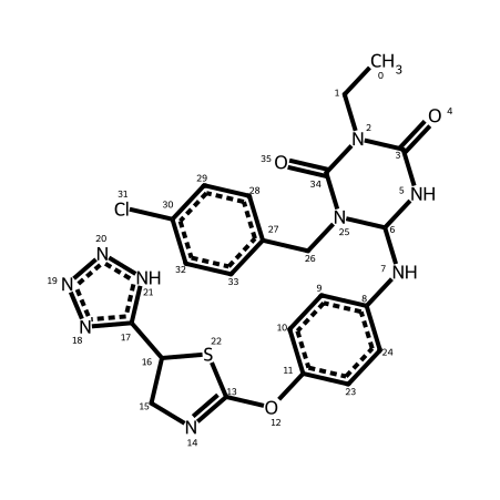 CCN1C(=O)NC(Nc2ccc(OC3=NCC(c4nnn[nH]4)S3)cc2)N(Cc2ccc(Cl)cc2)C1=O